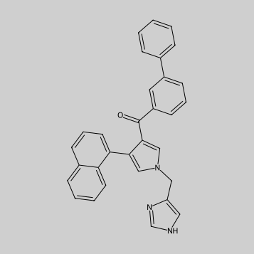 O=C(c1cccc(-c2ccccc2)c1)c1cn(Cc2c[nH]cn2)cc1-c1cccc2ccccc12